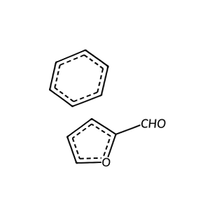 O=Cc1ccco1.c1ccccc1